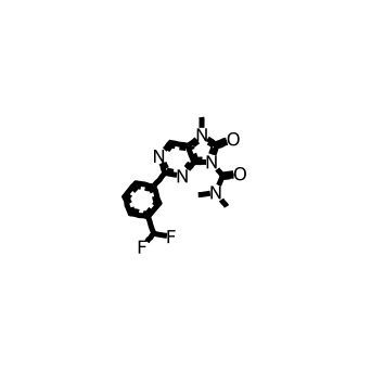 CN(C)C(=O)n1c(=O)n(C)c2cnc(-c3cccc(C(F)F)c3)nc21